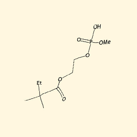 CCC(C)(C)C(=O)OCCOP(=O)(O)OC